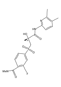 CNC(=O)c1ccc(S(=O)(=O)C[C@](C)(O)C(=O)Nc2ccc(C)c(C)n2)cc1F